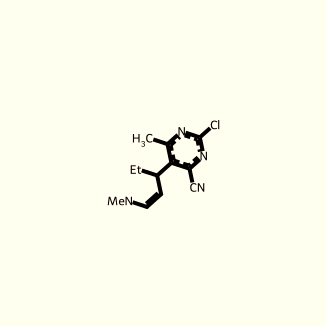 CCC(/C=C\NC)c1c(C)nc(Cl)nc1C#N